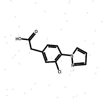 O=C(O)Cc1ccc(-n2cccn2)c(Cl)c1